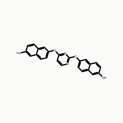 Oc1ccc2cc(Oc3ccnc(Oc4ccc5cc(O)ccc5c4)n3)ccc2c1